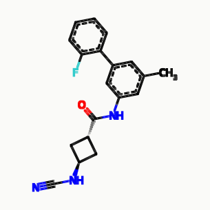 Cc1cc(NC(=O)[C@H]2C[C@H](NC#N)C2)cc(-c2ccccc2F)c1